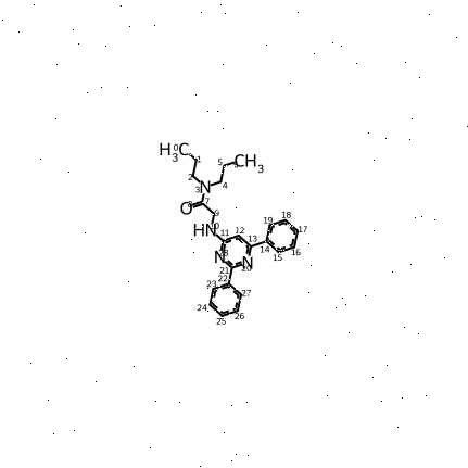 CCCN(CCC)C(=O)CNc1cc(-c2ccccc2)nc(-c2ccccc2)n1